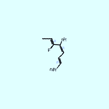 C/C=C(F)/C(=C\C=C\CCC)CCC